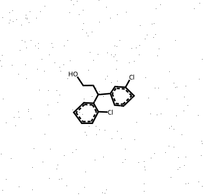 OCCC(c1cccc(Cl)c1)c1ccccc1Cl